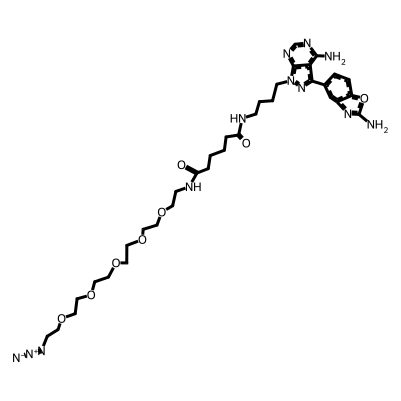 [N-]=[N+]=NCCOCCOCCOCCOCCOCCNC(=O)CCCCC(=O)NCCCCn1nc(-c2ccc3oc(N)nc3c2)c2c(N)ncnc21